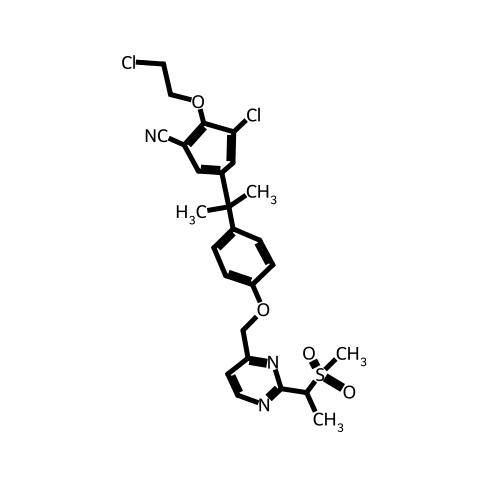 CC(c1nccc(COc2ccc(C(C)(C)c3cc(Cl)c(OCCCl)c(C#N)c3)cc2)n1)S(C)(=O)=O